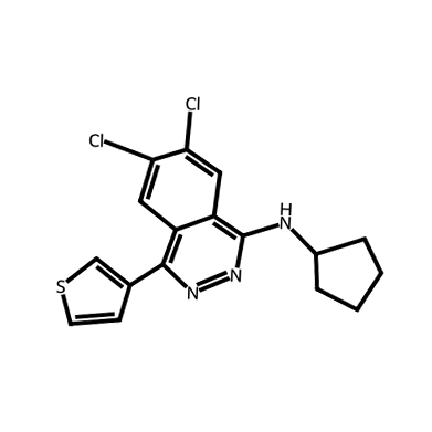 Clc1cc2c(NC3CCCC3)nnc(-c3ccsc3)c2cc1Cl